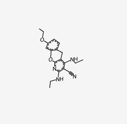 CCNc1nc2c(c(NCC)c1C#N)Cc1ccc(OCC)cc1O2